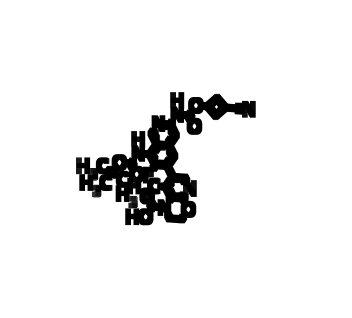 Cc1c(-c2cc3cc(NC(=O)OC4CC(C#N)C4)ncc3c(NC(=O)OC(C)(C)C)c2F)cnc2c1N(C(=O)O)CCO2